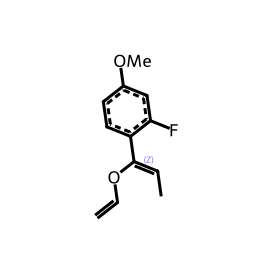 C=CO/C(=C\C)c1ccc(OC)cc1F